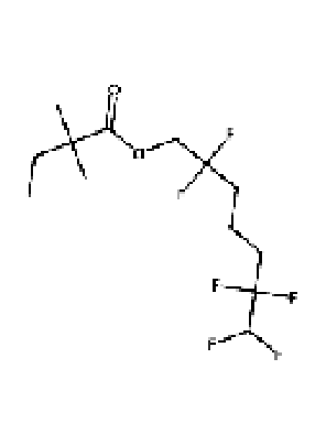 CCC(C)(C)C(=O)OCC(F)(F)CCCC(F)(F)C(F)F